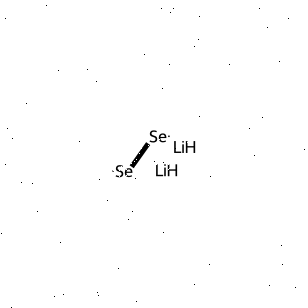 [LiH].[LiH].[Se][Se]